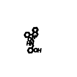 O=C(CNCC1CCCC[C@@H]1O)N1CCc2ccccc2C1C1CCCCC1